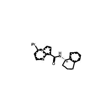 CC(C)c1ccnc2c(C(=O)N[C@H]3CCCc4ccccc43)ccn12